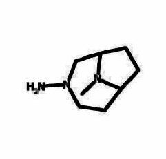 CN1C2CCC1CN(N)CC2